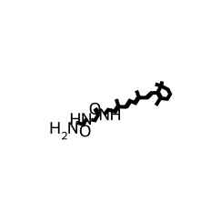 CC1=C(/C=C/C(C)=C/C=C/C(C)=C/CNC(=O)CNC(=O)CN)C(C)(C)CCC1